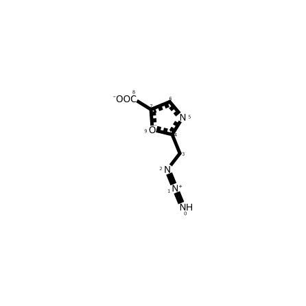 N=[N+]=NCc1ncc(C(=O)[O-])o1